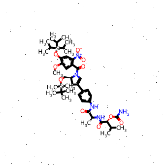 COc1cc(C(=O)N2C=C(c3ccc(NC(=O)[C@H](C)NC(=O)[C@@H](OC(N)=O)C(C)C)cc3)C[C@H]2CO[Si](C)(C)C(C)(C)C)c([N+](=O)[O-])cc1O[Si](C(C)C)(C(C)C)C(C)C